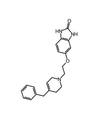 O=c1[nH]c2ccc(OCCN3CC=C(Cc4ccccc4)CC3)cc2[nH]1